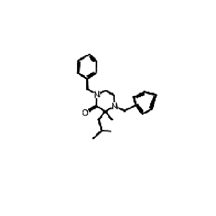 CC(C)CC1(C)C(=O)N(Cc2ccccc2)CCN1Cc1ccccc1